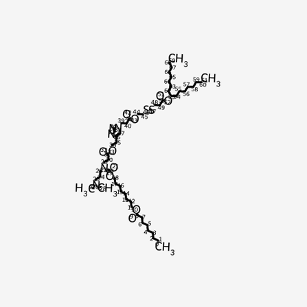 CCCCCCCCC(=O)OCCCCCCCCOC(=O)N(CCCN(C)C)CCC(=O)OCCc1cn(CCC(=O)OCCSSCCC(=O)OC(CCCCCCCC)CCCCCCCC)nn1